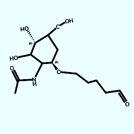 CC(=O)NC1C(O)[C@H](O)C(CO)C[C@H]1OCCCCC=O